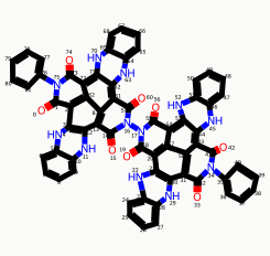 O=c1c2c3[nH]c4ccccc4[nH]c3c3c(=O)n(-n4c(=O)c5c6[nH]c7ccccc7[nH]c6c6c(=O)n(-c7ccccc7)c(=O)c7c8[nH]c9ccccc9[nH]c8c(c4=O)c5c67)c(=O)c4c5[nH]c6ccccc6[nH]c5c(c(=O)n1-c1ccccc1)c2c34